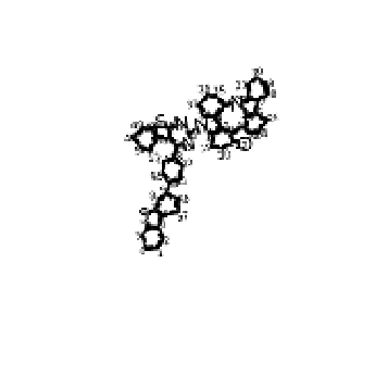 c1ccc2c(c1)sc1cc(-c3ccc(-c4nc(-n5c6ccc7oc8ccc9c%10ccccc%10n%10c%11cccc5c%11c6c7c8c9%10)nc5sc6ccccc6c45)cc3)ccc12